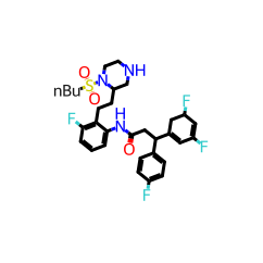 CCCCS(=O)(=O)N1CCNCC1CCc1c(F)cccc1NC(=O)CC(C1=CC(F)=CC(F)C1)c1ccc(F)cc1